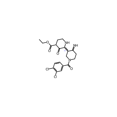 CCOC(=O)C1CCN/C(=C2/CN(C(=O)c3ccc(Cl)c(Cl)c3)CCC2=N)C1=O